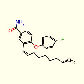 C=CCCCCC/C=C\c1cc(C(N)=O)ccc1Oc1ccc(F)cc1